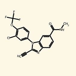 C#Cc1nc2ccc(C(=O)NC)cc2n1-c1ccc(OC(F)(F)F)c(Cl)c1